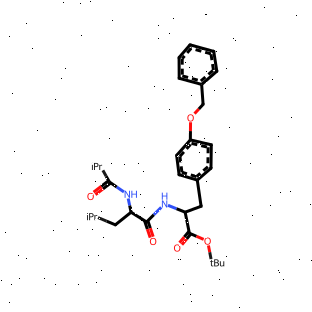 CC(C)CC(NC(=O)C(C)C)C(=O)NC(Cc1ccc(OCc2ccccc2)cc1)C(=O)OC(C)(C)C